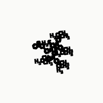 Cc1cc2c3c(c1)N(c1cccc(-c4ccc5oc6ccccc6c5c4)c1)c1cc(N(c4ccc(C(C)(C)C)cc4)c4ccc(C(C)(C)C)cc4)ccc1B3c1cc(C(C)(C)C)ccc1N2c1ccc(C(C)(C)C)cc1